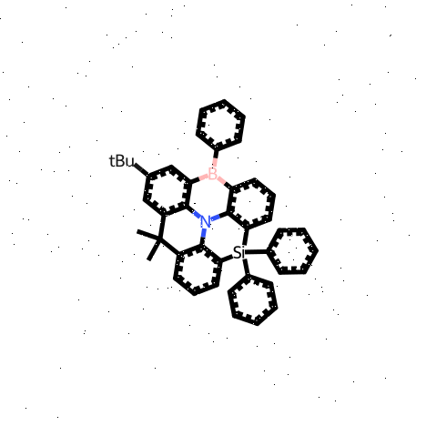 CC(C)(C)c1cc2c3c(c1)C(C)(C)c1cccc4c1N3c1c(cccc1[Si]4(c1ccccc1)c1ccccc1)B2c1ccccc1